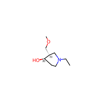 CCN1CC[C@@H](O)[C@H](COC)C1